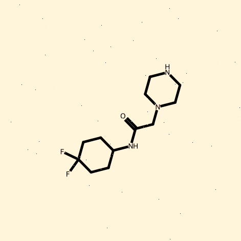 O=C(CN1CCNCC1)NC1CCC(F)(F)CC1